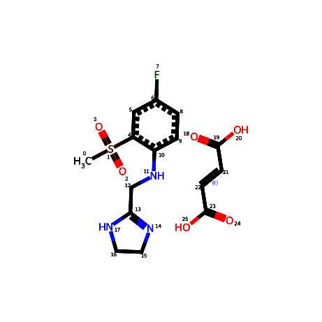 CS(=O)(=O)c1cc(F)ccc1NCC1=NCCN1.O=C(O)/C=C/C(=O)O